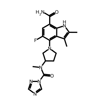 Cc1[nH]c2c(C(N)=O)cc(F)c(N3CCC(N(C)C(=O)n4cncn4)C3)c2c1C